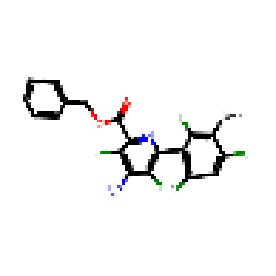 COc1c(Cl)cc(Cl)c(-c2nc(C(=O)OCc3ccccc3)c(Cl)c(N)c2F)c1F